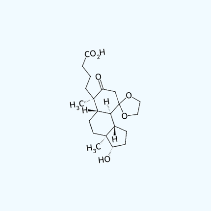 C[C@]12CC[C@H]3[C@H]([C@@H]1CC[C@@H]2O)C1(CC(=O)[C@]3(C)CCCC(=O)O)OCCO1